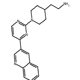 NCCC1CCN(c2nccc(-c3cnc4ccccc4c3)n2)CC1